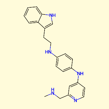 CNCc1cc(Nc2ccc(NCCc3c[nH]c4ccccc34)cc2)ccn1